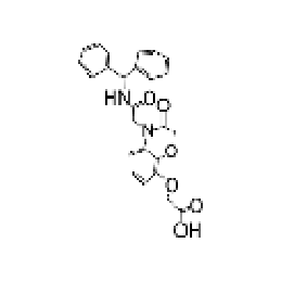 O=C(O)COc1cccc2c1OCC(=O)N2CC(=O)NC(c1ccccc1)c1ccccc1